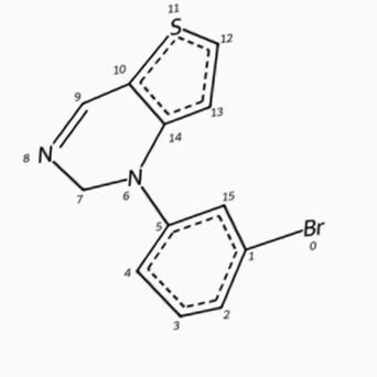 Brc1cccc(N2CN=Cc3sccc32)c1